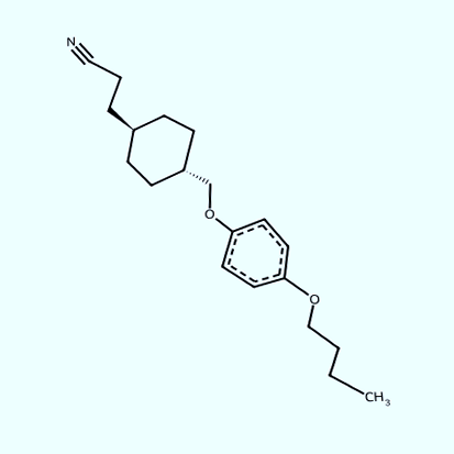 CCCCOc1ccc(OC[C@H]2CC[C@H](CCC#N)CC2)cc1